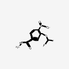 CNC(=O)c1ccc([N+](=O)[O-])c(OC(F)F)c1